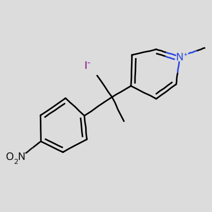 C[n+]1ccc(C(C)(C)c2ccc([N+](=O)[O-])cc2)cc1.[I-]